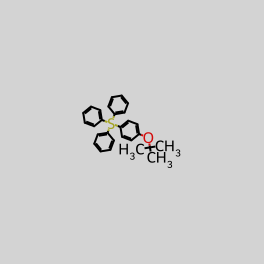 CC(C)(C)Oc1ccc(S(c2ccccc2)(c2ccccc2)c2ccccc2)cc1